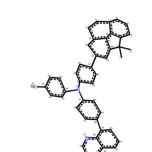 CC1(C)c2cccc3ccc4cc(-c5ccc(N(c6ccc(C#N)cc6)c6ccc(-c7cccc8cccnc78)cc6)cc5)cc1c4c23